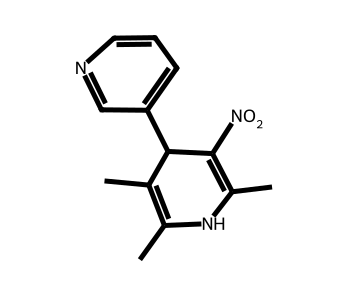 CC1=C(C)C(c2cccnc2)C([N+](=O)[O-])=C(C)N1